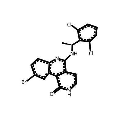 C[C@H](Nc1nc2ccc(Br)cc2c2c(=O)[nH]ccc12)c1c(Cl)cccc1Cl